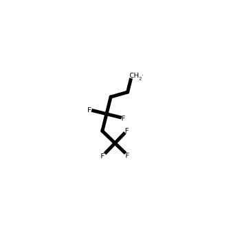 [CH2]CCC(F)(F)CC(F)(F)F